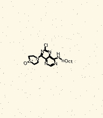 CCCCCCCCNc1ncnc2c(N3CC[S+]([O-])CC3)nc(Cl)nc12